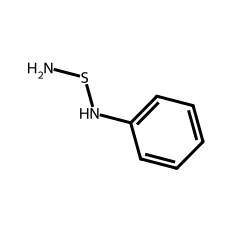 NSNc1ccccc1